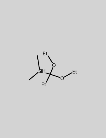 [CH2]CC(OCC)(OCC)[SiH](C)C